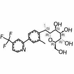 Cc1cc(-c2cc(C(F)(F)F)ccn2)ccc1[C@H](C)[C@H]1O[C@H](CO)[C@@H](O)[C@H](O)[C@@H]1O